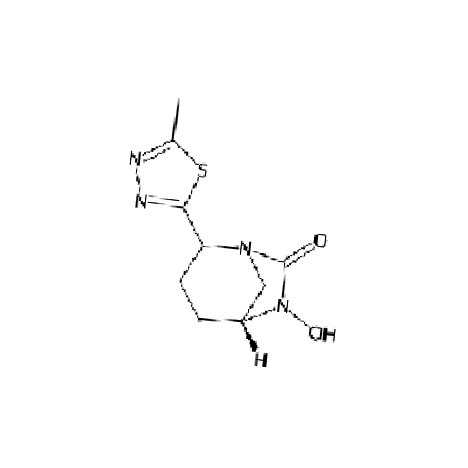 Cc1nnc(C2CC[C@@H]3CN2C(=O)N3O)s1